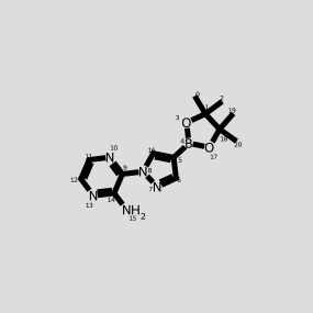 CC1(C)OB(c2cnn(-c3nccnc3N)c2)OC1(C)C